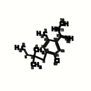 CCC(C)(C)Cc1cc(C)c(C(=N)NO)cc1Cl